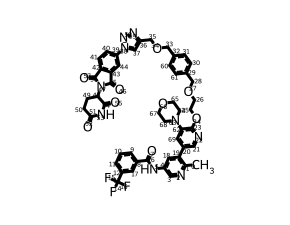 Cc1ncc(NC(=O)c2cccc(C(F)(F)F)c2)cc1-c1cnc(OCCOCc2ccc(COCc3cn(-c4ccc5c(c4)C(=O)N(C4CCC(=O)NC4=O)C5=O)nn3)cc2)c(N2CCOCC2)c1